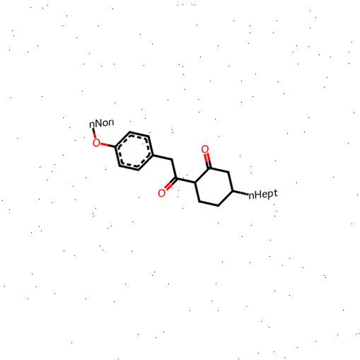 CCCCCCCCCOc1ccc(CC(=O)C2CCC(CCCCCCC)CC2=O)cc1